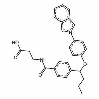 CCCC(Oc1ccc(-n2cc3ccccc3n2)cc1)c1ccc(C(=O)NCCC(=O)O)cc1